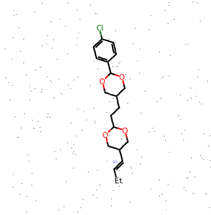 CC/C=C/C1COC(CCC2COC(c3ccc(Cl)cc3)OC2)OC1